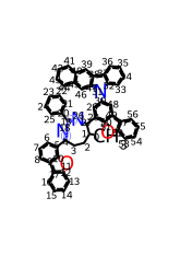 CC1CC/C(c2cccc3c2oc2ccccc23)=N\C(c2ccccc2)=N/C1c1cc(-n2c3ccccc3c3cc4ccccc4cc32)cc2c1oc1ccccc12